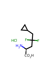 Cl.N[C@@H](CC(F)(F)CC1CC1)C(=O)O